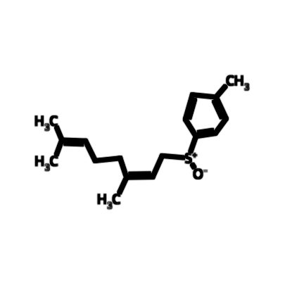 CC(C)=CCCC(C)=CC[S+]([O-])c1ccc(C)cc1